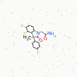 CC1(c2ccc(F)cc2)C(=O)N(CC(N)=O)c2ccc(F)c(F)c21